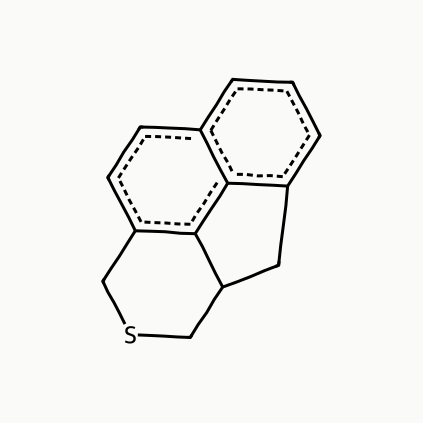 c1cc2c3c4c(ccc3c1)CSCC4C2